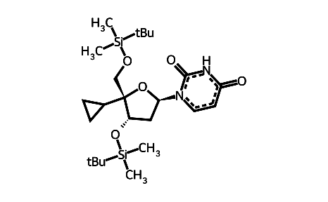 CC(C)(C)[Si](C)(C)OC[C@@]1(C2CC2)O[C@@H](n2ccc(=O)[nH]c2=O)C[C@@H]1O[Si](C)(C)C(C)(C)C